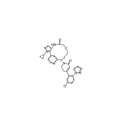 O=C1CCCC[C@H](N2CCC(c3cc(Cl)ccc3-n3ccnn3)=CC2=O)c2cc(ccn2)-c2c(cnn2C2CC2)N1